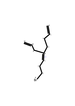 C=CCC/C(=C/CCBr)CC=C